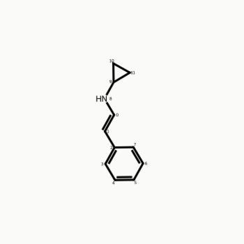 C(=Cc1ccccc1)NC1CC1